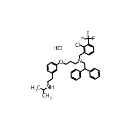 CC(C)NCCc1cccc(OCCCN(Cc2cccc(C(F)(F)F)c2Cl)CC(c2ccccc2)c2ccccc2)c1.Cl